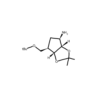 CC(C)(C)OC[C@H]1C[C@@H](N)[C@@H]2OC(C)(C)O[C@H]12